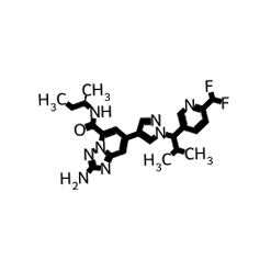 CC[C@H](C)NC(=O)c1cc(-c2cnn(C(c3ccc(C(F)F)nc3)C(C)C)c2)cc2nc(N)nn12